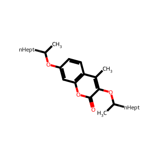 CCCCCCCC(C)Oc1ccc2c(C)c(OC(C)CCCCCCC)c(=O)oc2c1